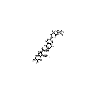 COCC1(C)CN(c2ccc3c(n2)CCC(NC(=O)c2sc4nc(C)c(F)cc4c2N)C3)CC1N